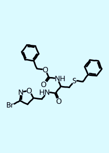 O=C(NC(CSCc1ccccc1)C(=O)NCC1CC(Br)=NO1)OCc1ccccc1